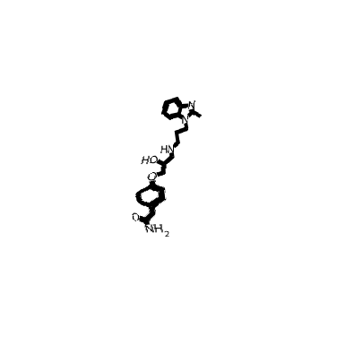 Cc1nc2ccccc2n1CCCNCC(O)COc1ccc(CC(N)=O)cc1